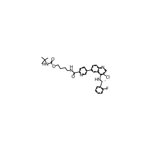 C[C@@H](Nc1c(Cl)cnc2ccc(-c3ccc(C(=O)NCCCCOC(=O)NC(C)(C)C)nc3)cc12)c1ccccc1F